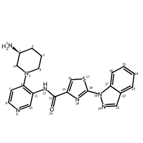 N[C@H]1CCCN(c2ccncc2NC(=O)c2csc(-n3ncc4ccccc43)n2)C1